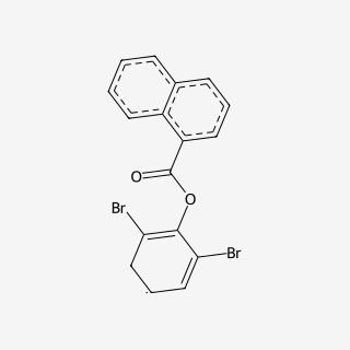 O=C(OC1=C(Br)C[CH]C=C1Br)c1cccc2ccccc12